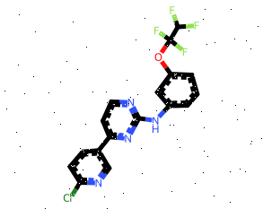 FC(F)C(F)(F)Oc1cccc(Nc2nccc(-c3ccc(Cl)nc3)n2)c1